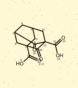 O=C(O)C12CC3CC(C1)C(=O)C(C(=O)O)(C3)C2=O